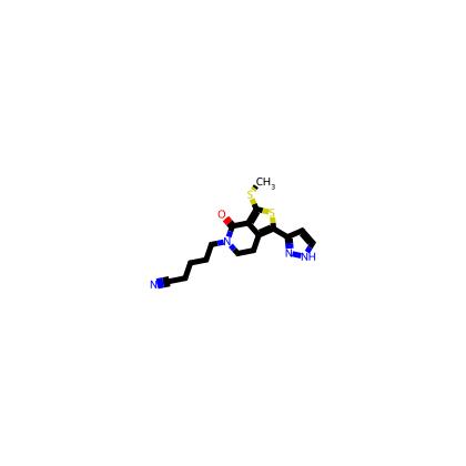 CSc1sc(-c2cc[nH]n2)c2c1C(=O)N(CCCCC#N)CC2